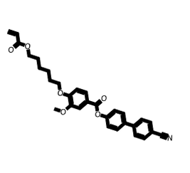 C=CC(=O)OCCCCCCOc1ccc(C(=O)Oc2ccc(-c3ccc(C#N)cc3)cc2)cc1OC